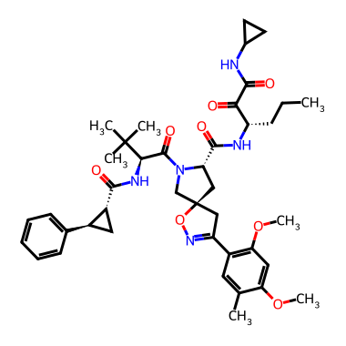 CCC[C@H](NC(=O)[C@@H]1C[C@]2(CC(c3cc(C)c(OC)cc3OC)=NO2)CN1C(=O)[C@@H](NC(=O)[C@@H]1C[C@H]1c1ccccc1)C(C)(C)C)C(=O)C(=O)NC1CC1